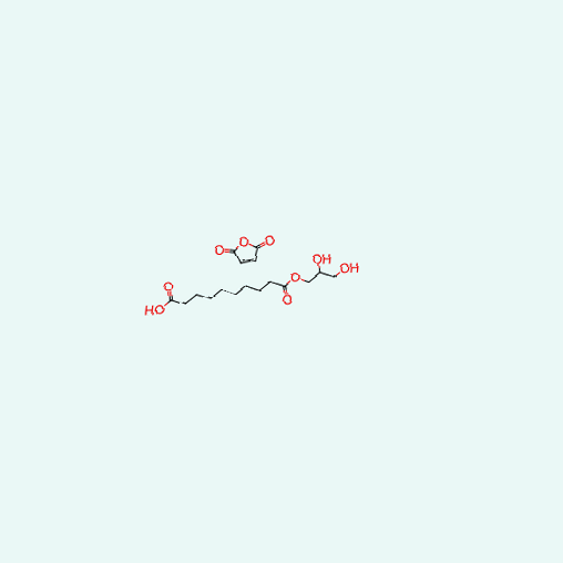 O=C(O)CCCCCCCCC(=O)OCC(O)CO.O=C1C=CC(=O)O1